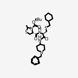 CC1SC[C@@H](C(=O)N[C@@H](CSCC2CCCCC2)C(=O)NC2CCN(Cc3ccccc3)CC2)N1C(=O)OC(C)(C)C